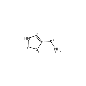 NSC1=CNCS1